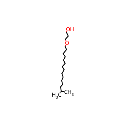 CC(C)CCCCCCCCCCCCCOCCCO